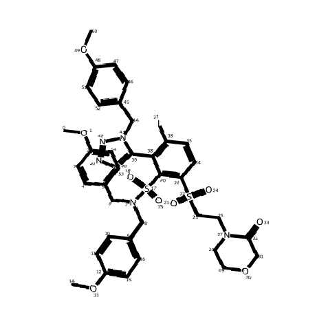 COc1ccc(CN(Cc2ccc(OC)cc2)S(=O)(=O)c2c(S(=O)(=O)CCN3CCOCC3=O)ccc(I)c2-c2nnnn2Cc2ccc(OC)cc2)cc1